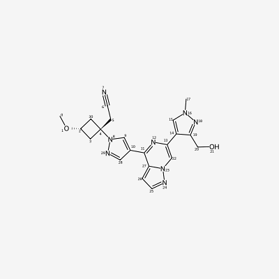 CO[C@H]1C[C@@](CC#N)(n2cc(-c3nc(-c4cn(C)nc4CO)cn4nccc34)cn2)C1